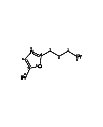 CC(C)CCCc1ncc(C(C)C)o1